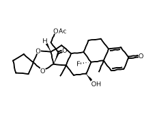 CC(=O)OCC(=O)[C@@]12OC3(CCCC3)O[C@@H]1CC1C3CCC4=CC(=O)C=CC4(C)[C@@]3(F)[C@@H](O)CC12C